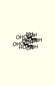 N[C@@H](C=O)[C@@H](O)[C@@H](O)[C@H](O)CO.O=C[C@H](O)[C@@H](O)[C@H](O)[C@H](O)CO